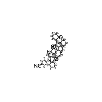 N#Cc1ccc2c(c1)c1ccccc1n2-c1cnc2c(c1)C1(c3ccccc3Sc3ccccc31)c1cc(N3c4ccccc4Oc4ccccc43)cnc1-2